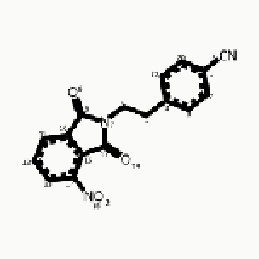 N#Cc1ccc(CCN2C(=O)c3cccc([N+](=O)[O-])c3C2=O)cc1